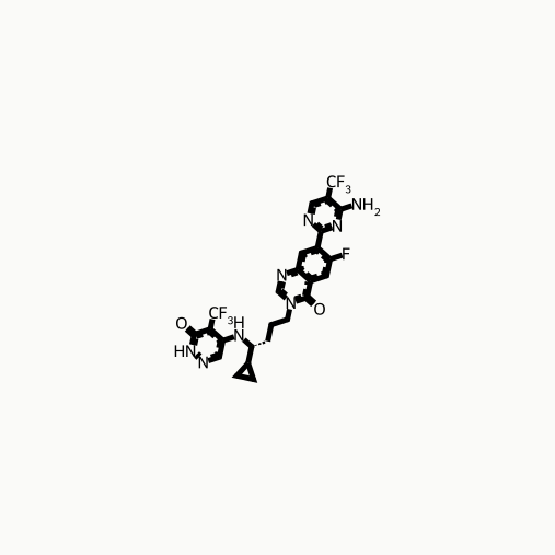 Nc1nc(-c2cc3ncn(CCC[C@@H](Nc4cn[nH]c(=O)c4C(F)(F)F)C4CC4)c(=O)c3cc2F)ncc1C(F)(F)F